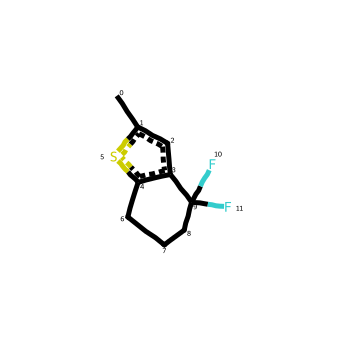 Cc1cc2c(s1)CCCC2(F)F